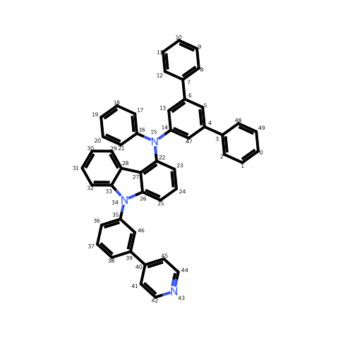 c1ccc(-c2cc(-c3ccccc3)cc(N(c3ccccc3)c3cccc4c3c3ccccc3n4-c3cccc(-c4ccncc4)c3)c2)cc1